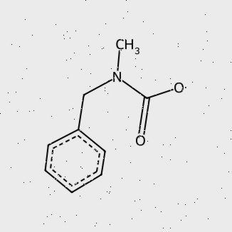 CN(Cc1ccccc1)C([O])=O